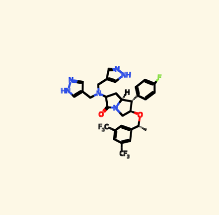 C[C@@H](O[C@H]1CN2C(=O)C(N(Cc3cn[nH]c3)Cc3cn[nH]c3)C[C@H]2[C@@H]1c1ccc(F)cc1)c1cc(C(F)(F)F)cc(C(F)(F)F)c1